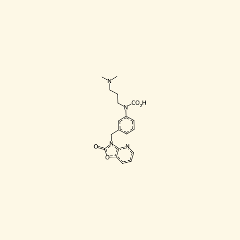 CN(C)CCCN(C(=O)O)c1cccc(Cn2c(=O)oc3cccnc32)c1